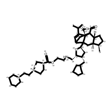 CC(C)C1=CC2CC3(C=O)[C@@H]4CC[C@@H](C)[C@H]4CC2([C@H]2C[C@H](CC4CCCC4)[C@H](CNCCOC(=O)N4CCN(CCN5CCCCC5)CC4)O2)[C@]13C(=O)O